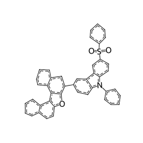 O=S(=O)(c1ccccc1)c1ccc2c(c1)c1cc(-c3cc4ccccc4c4c3oc3ccc5ccccc5c34)ccc1n2-c1ccccc1